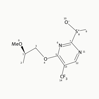 CO[C@H](C)COc1nc([S+](C)[O-])ncc1C(F)(F)F